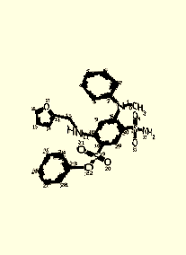 CN(c1ccccc1)c1cc(NCc2ccco2)c(S(=O)(=O)Oc2ccccc2)cc1S(N)(=O)=O